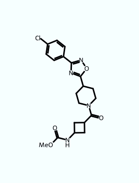 COC(=O)NC1CC(C(=O)N2CCC(c3nc(-c4ccc(Cl)cc4)no3)CC2)C1